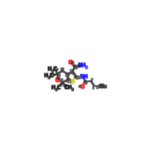 CC(C)(C)CCC(=O)Nc1sc2c(c1C(N)=O)CC(C)(C)OC2(C)C